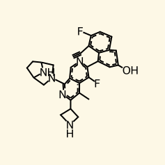 C#Cc1c(F)ccc2cc(O)cc(-c3ncc4c(N5CC6CCC(C5)N6)nc(C5CNC5)c(C)c4c3F)c12